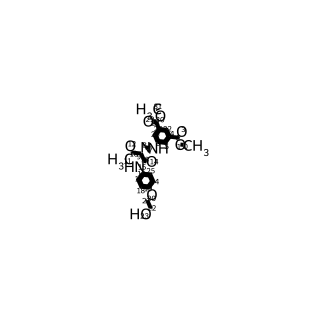 COC(=O)c1cc(N/N=C(/C(C)=O)C(=O)Nc2ccc(OCCO)cc2)cc(C(=O)OC)c1